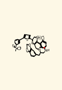 CS(=O)(=O)c1cccc(-c2ccc(C3=NC(CN4CCNCC4Cc4ccc5c(c4)OCO5)=C(c4ccccc4Cl)NC3)s2)c1